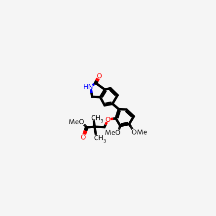 COC(=O)C(C)(C)COc1c(-c2ccc3c(c2)CNC3=O)ccc(OC)c1OC